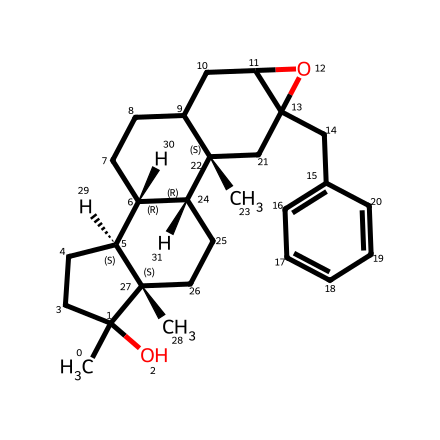 CC1(O)CC[C@H]2[C@@H]3CCC4CC5OC5(Cc5ccccc5)C[C@]4(C)[C@@H]3CC[C@@]21C